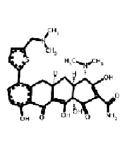 CN(C)Cc1ccc(-c2ccc(O)c3c2C[C@H]2C[C@H]4[C@H](N(C)C)C(O)=C(C(N)=O)C(=O)[C@@]4(O)C(O)=C2C3=O)s1